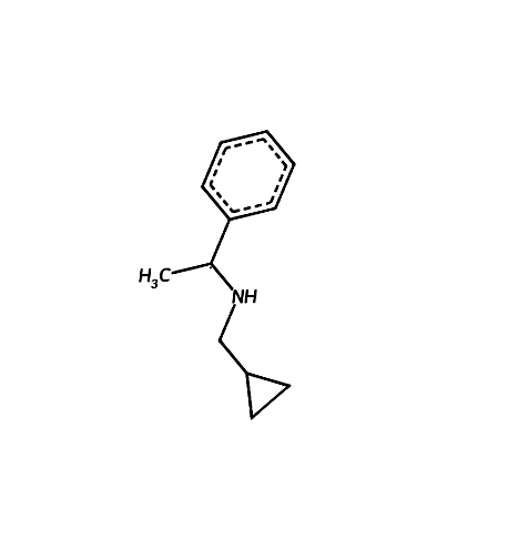 C[C](NCC1CC1)c1ccccc1